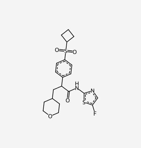 O=C(Nc1ncc(F)s1)C(CC1CCOCC1)c1ccc(S(=O)(=O)C2CCC2)cc1